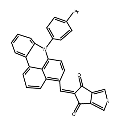 CC(C)c1ccc(N2c3ccccc3-c3cccc4c(C=C5C(=O)c6cscc6C5=O)ccc2c34)cc1